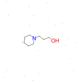 OCCCN1CC[CH]CC1